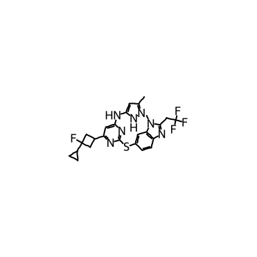 Cc1cc(Nc2cc(C3CC(F)(C4CC4)C3)nc(Sc3ccc4nc(CC(F)(F)F)n(C)c4c3)n2)[nH]n1